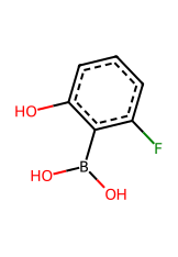 OB(O)c1c(O)cccc1F